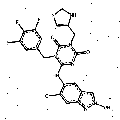 Cn1cc2cc(Nc3nc(=O)n(CC4=CSCN4)c(=O)n3Cc3cc(F)c(F)c(F)c3)c(Cl)cc2n1